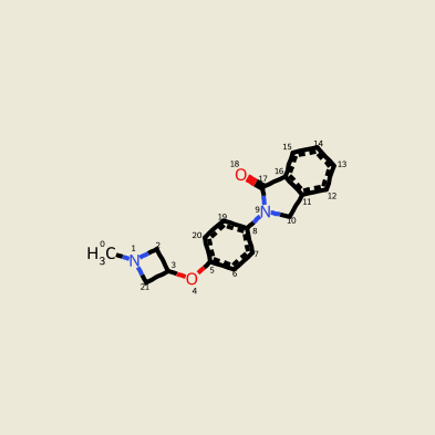 CN1CC(Oc2ccc(N3Cc4ccccc4C3=O)cc2)C1